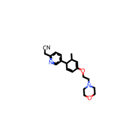 CC1C=C(OCCN2CCOCC2)C=CC1c1ccc(CC#N)nc1